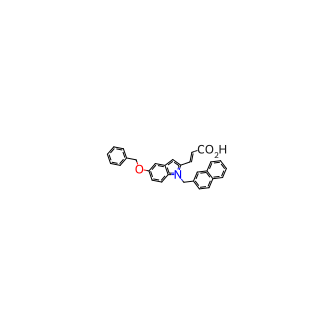 O=C(O)C=Cc1cc2cc(OCc3ccccc3)ccc2n1Cc1ccc2ccccc2c1